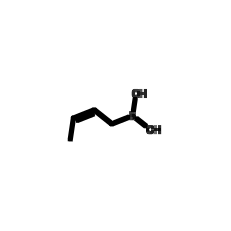 C/C=C\CB(O)O